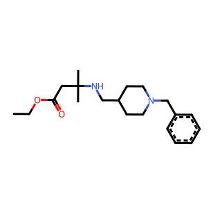 CCOC(=O)CC(C)(C)NCC1CCN(Cc2ccccc2)CC1